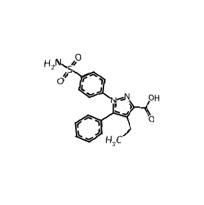 CCc1c(C(=O)O)nn(-c2ccc(S(N)(=O)=O)cc2)c1-c1ccccc1